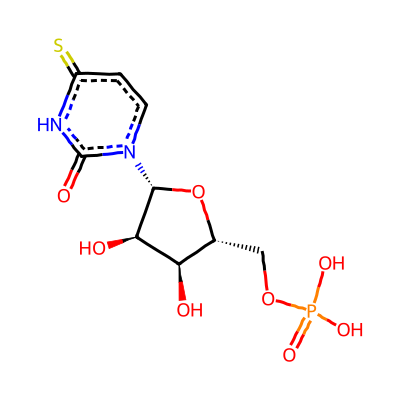 O=c1[nH]c(=S)ccn1[C@@H]1O[C@H](COP(=O)(O)O)[C@@H](O)[C@H]1O